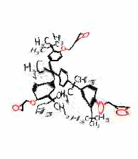 CC(C)(C)c1cc(C(C)(C)c2ccc(C(C)(c3ccc(OCC4CO4)c(C(C)(C)C)c3)c3ccc(OCC4CO4)c(C(C)(C)C)c3)cc2)ccc1OCC1CO1